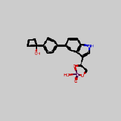 O=P1(O)OC[C@H](c2c[nH]c3ccc(-c4ccc(C5(O)CCC5)cc4)cc23)O1